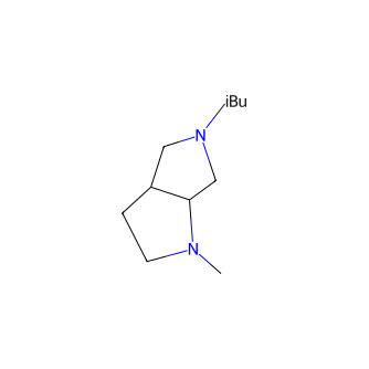 CCC(C)N1CC2CCN(C)C2C1